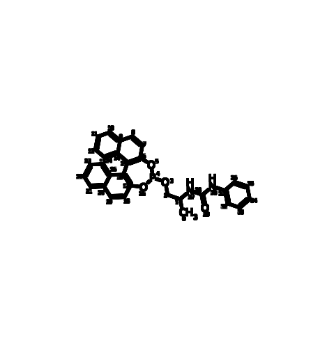 CC(COp1oc2ccc3ccccc3c2c2c(ccc3ccccc32)o1)NC(=O)Nc1ccccc1